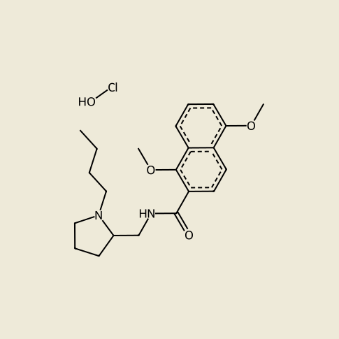 CCCCN1CCCC1CNC(=O)c1ccc2c(OC)cccc2c1OC.OCl